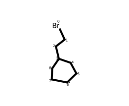 BrCC[C]1CC[CH]CC1